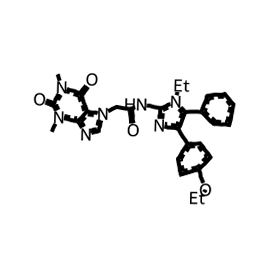 CCOc1ccc(-c2nc(NC(=O)Cn3cnc4c3c(=O)n(C)c(=O)n4C)n(CC)c2-c2ccccc2)cc1